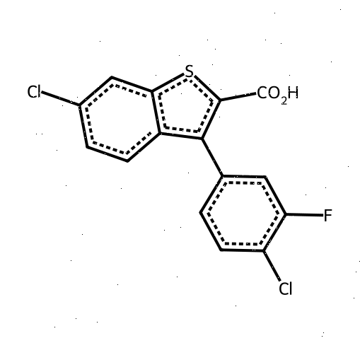 O=C(O)c1sc2cc(Cl)ccc2c1-c1ccc(Cl)c(F)c1